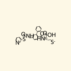 CSCC[C@H](NC(=O)c1ccc(CNC(=O)Sc2cccnc2)cc1-c1ccccc1)C(=O)O